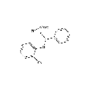 CCCCCCl.N#Cc1ccccc1OC(F)c1ccccc1